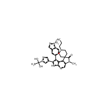 BC(O)(O)n1cc(-c2[nH]c3ncc4c(c3c2-c2ccc3c(cnn3C)c2)C2(CCN(CCC#N)CC2)C(=O)N4C)cn1